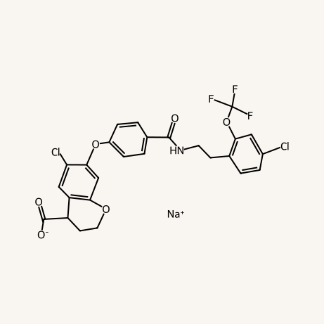 O=C(NCCc1ccc(Cl)cc1OC(F)(F)F)c1ccc(Oc2cc3c(cc2Cl)C(C(=O)[O-])CCO3)cc1.[Na+]